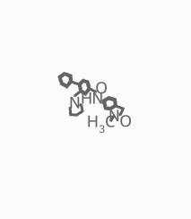 CN1C(=O)Cc2ccc(NC(=O)c3ccc(-c4ccccc4)c(CN4CCCCC4)c3)cc21